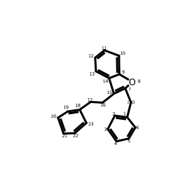 [C](c1ccccc1)c1oc2ccccc2c1CCc1ccccc1